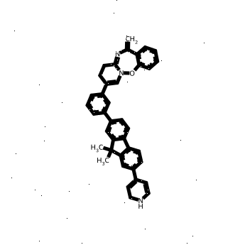 C=C1N=C2CCC(c3cccc(-c4ccc5c(c4)C(C)(C)c4cc(C6=CCNC=C6)ccc4-5)c3)=CN2Oc2ccccc21